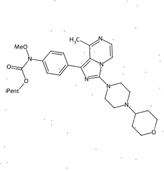 CCCC(C)OC(=O)N(OC)c1ccc(-c2nc(N3CCN(C4CCOCC4)CC3)n3ccnc(C)c23)cc1